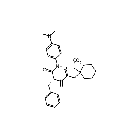 CN(C)c1ccc(NC(=O)[C@@H](Cc2ccccc2)NC(=O)CC2(CC(=O)O)CCCCC2)cc1